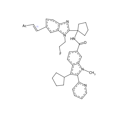 CC(=O)/C=C/c1ccc2nc(C3(NC(=O)c4ccc5c(C6CCCC6)c(-c6ccccn6)n(C)c5c4)CCCC3)n(CCF)c2c1